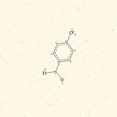 CCC([O])c1ccc(C(F)(F)F)cc1